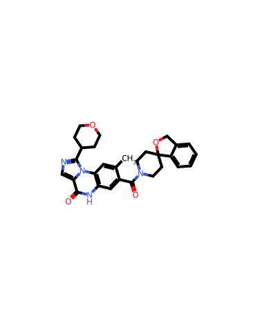 Cc1cc2c(cc1C(=O)N1CCC3(CC1)OCc1ccccc13)[nH]c(=O)c1cnc(C3CCOCC3)n12